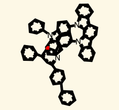 c1ccc(-c2ccc(-c3cc(-c4ccccc4)cc(-c4cccc(-n5c6ccccc6c6ccc7c8ccccc8n(-c8ccc9c(c8)c8ccccc8n9-c8ccccc8)c7c65)c4)n3)cc2)cc1